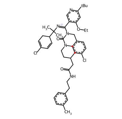 CCOc1cc(C(C)(C)C)ncc1/C(=N/C(C)(C)C1C=CC(Cl)=CC1)N(Cc1ccc(Cl)cc1)C(=O)N1CCC(CC(=O)NCCc2cccc(C)c2)CC1